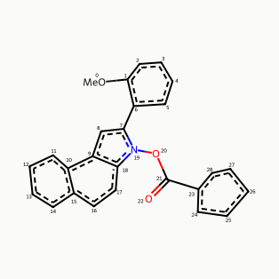 COc1ccccc1-c1cc2c3ccccc3ccc2n1OC(=O)c1ccccc1